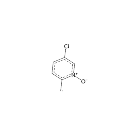 [CH2]c1ccc(Cl)c[n+]1[O-]